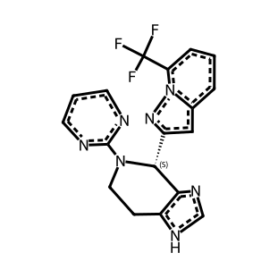 FC(F)(F)c1cccc2cc([C@@H]3c4nc[nH]c4CCN3c3ncccn3)nn12